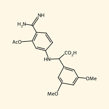 COc1cc(OC)cc(C(Nc2ccc(C(=N)N)c(OC(C)=O)c2)C(=O)O)c1